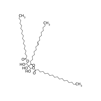 CCCCCCCCC=CCCCCCCCC(=O)C(O)(C(O)OC(=O)CCCCCCCCCCCCCCCCC)C(O)OC(=O)CCCCCCCCCCCCCCCCC